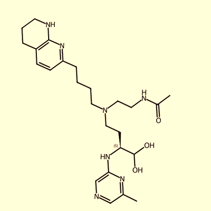 CC(=O)NCCN(CCCCc1ccc2c(n1)NCCC2)CC[C@H](Nc1cncc(C)n1)C(O)O